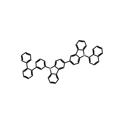 c1ccc(-c2ccccc2-c2cccc(-n3c4ccccc4c4cc(-c5ccc6c(c5)c5ccccc5n6-c5cccc6ccccc56)ccc43)c2)cc1